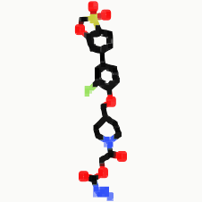 NC(=O)OCC(=O)N1CCC(COc2ccc(-c3ccc4c(c3)OCS4(=O)=O)cc2F)CC1